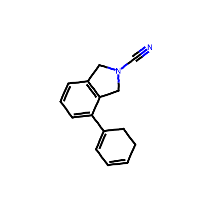 N#CN1Cc2cccc(C3=CC=CCC3)c2C1